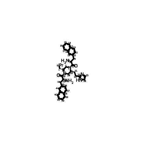 CC(C)C[C@@H]1CN(C(=O)[C@H](N)Cc2ccc3ccccc3c2)[C@@H](CCc2ncc[nH]2)CN1C(=O)[C@H](N)Cc1ccc2ccccc2c1